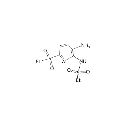 CCS(=O)(=O)Nc1nc(S(=O)(=O)CC)ccc1N